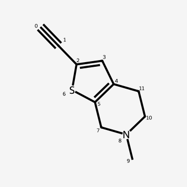 C#Cc1cc2c(s1)CN(C)CC2